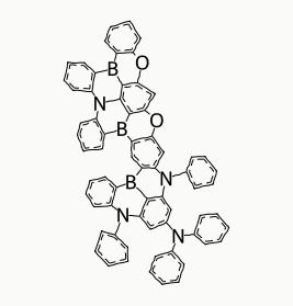 c1ccc(N(c2ccccc2)c2cc3c4c(c2)N(c2ccccc2)c2cc5c(cc2B4c2ccccc2N3c2ccccc2)B2c3ccccc3N3c4ccccc4B4c6ccccc6Oc6cc(c2c3c64)O5)cc1